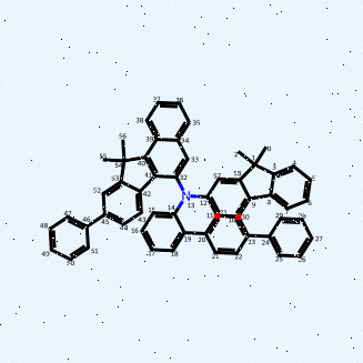 CC1(C)c2ccccc2-c2ccc(N(c3ccccc3-c3ccc(-c4ccccc4)cc3)c3cc4ccccc4c4c3-c3ccc(-c5ccccc5)cc3C4(C)C)cc21